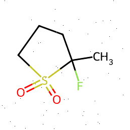 CC1(F)CCCS1(=O)=O